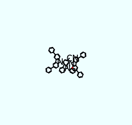 N#Cc1cc(-n2c3ccc(-c4ccccc4)cc3c3cc(-c4ccccc4)ccc32)c2c3ccccc3n(-c3ccccc3)c2c1-n1c2ccc(-c3ccccc3)cc2c2cc(-c3ccccc3)ccc21